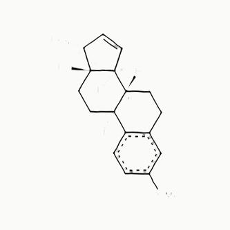 COc1ccc2c(c1)CC[C@@H]1[C@@H]2CC[C@]2(C)[C@H](O)C=C[C@@H]12